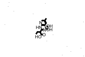 CCC(C(=O)O)C1=NS(O)(O)c2cc(C)cnc2N1